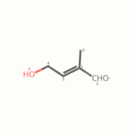 CC([C]=O)=CCO